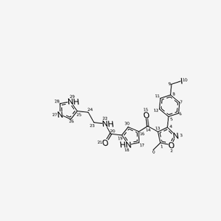 Cc1onc(-c2ccc(CI)cc2)c1C(=O)c1c[nH]c(C(=O)NCCc2cnc[nH]2)c1